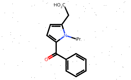 CC(C)n1c(CC(=O)O)ccc1C(=O)c1ccccc1